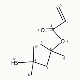 C=CC(=O)OC(C)(C)CC(C)(C)S